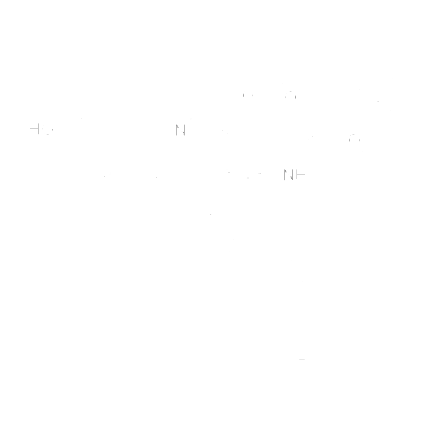 CC(C)(C)OC(=O)N[C@H](Cc1ccc(F)cc1)C(=O)N1CCC(O)CC1